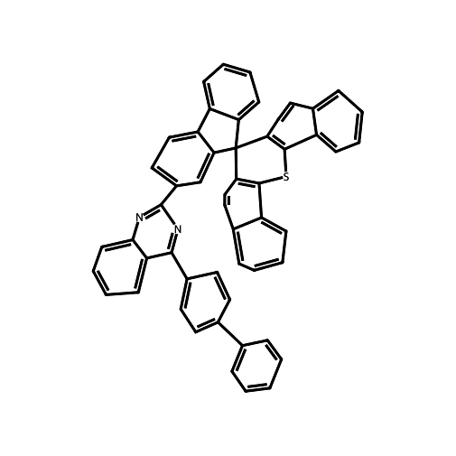 c1ccc(-c2ccc(-c3nc(-c4ccc5c(c4)C4(c6ccccc6-5)c5ccc6ccccc6c5Sc5c4ccc4ccccc54)nc4ccccc34)cc2)cc1